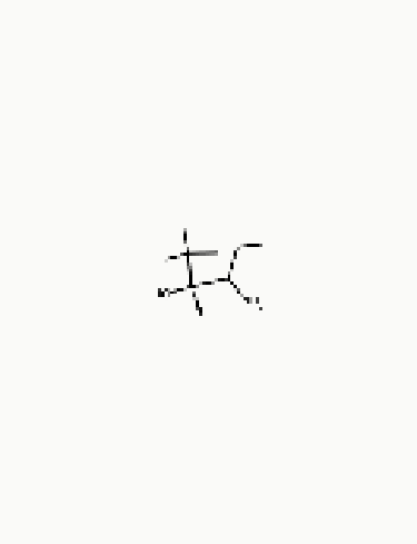 CCC(N)[C@](C)(O)C(C)(C)C